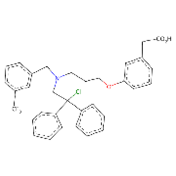 O=C(O)Cc1cccc(OCCCN(Cc2cccc(C(F)(F)F)c2)CC(Cl)(c2ccccc2)c2ccccc2)c1